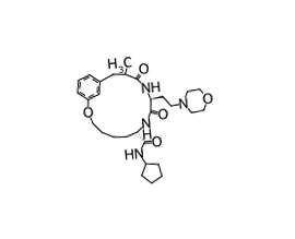 CC1Cc2cccc(c2)OCCCC[C@@H](C(=O)NC2CCCC2)NC(=O)[C@H](CCN2CCOCC2)NC1=O